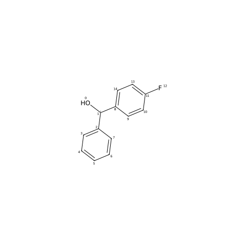 O[C](c1ccccc1)c1ccc(F)cc1